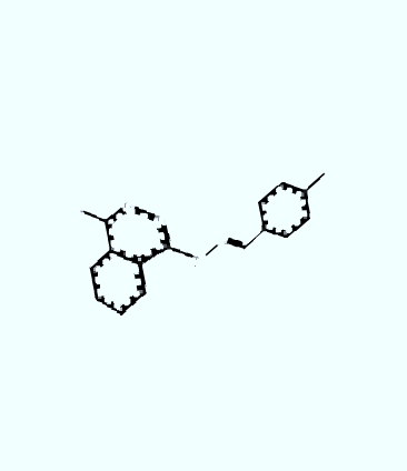 Cc1ccc(C=NNc2nnc(Cl)c3ccccc23)cc1